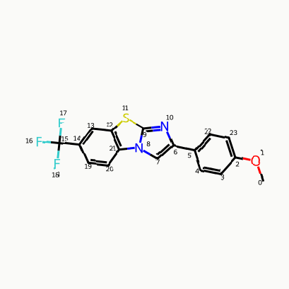 COc1ccc(-c2cn3c(n2)sc2cc(C(F)(F)F)ccc23)cc1